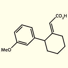 COc1cccc(C2CCCCC2=CC(=O)O)c1